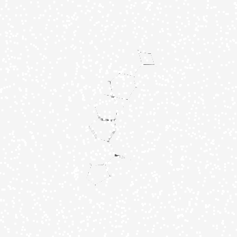 O=C(c1ccc2c(c1)OC1(CCN(C3CCC3)CC1)OC2)N1CCCC1